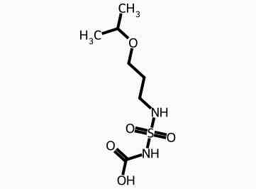 CC(C)OCCCNS(=O)(=O)NC(=O)O